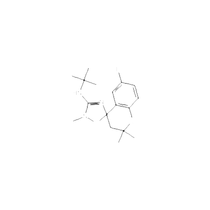 CN1OC2(CC(C)(C)Oc3ccc(F)cc32)N=C1NC(C)(C)C